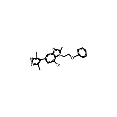 Cc1noc(C)c1-c1cc(Br)c2c(c1)nc(C)n2CCOc1ccccc1